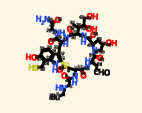 CCC(C)CNCC(=O)NC1C[S+]([O-])c2[nH]c3c(CS)c(O)ccc3c2CC(C(=O)NCC(N)=O)NC(=O)C(C(C)C(O)CO)NC(=O)C2CC(O)CN2C(=O)C(CC=O)NC1=O